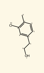 Cc1[c]cc(CCO)cc1Cl